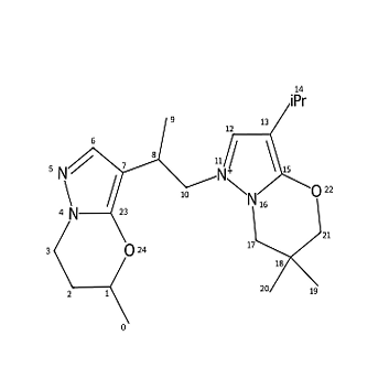 CC1CCn2ncc(C(C)C[n+]3cc(C(C)C)c4n3CC(C)(C)CO4)c2O1